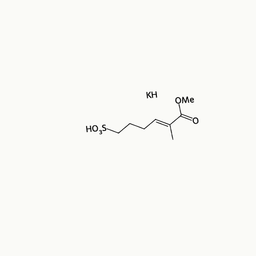 COC(=O)C(C)=CCCCS(=O)(=O)O.[KH]